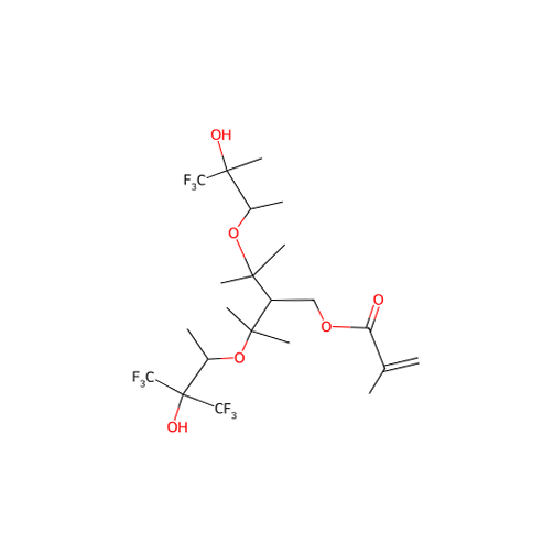 C=C(C)C(=O)OCC(C(C)(C)OC(C)C(C)(O)C(F)(F)F)C(C)(C)OC(C)C(O)(C(F)(F)F)C(F)(F)F